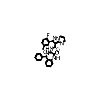 O=C(N[C@H]1N=C(c2ccccc2)c2ccccc2NC1=O)c1c(-c2cc(CO)ccc2F)nn2cccnc12